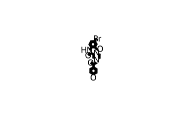 COc1ccc(C(=O)CN2CCN3C(=O)c4cc(Br)ccc4NC(=O)C3C2)cc1